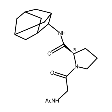 CC(=O)NCC(=O)N1CCC[C@@H]1C(=O)NC1C2CC3CC(C2)CC1C3